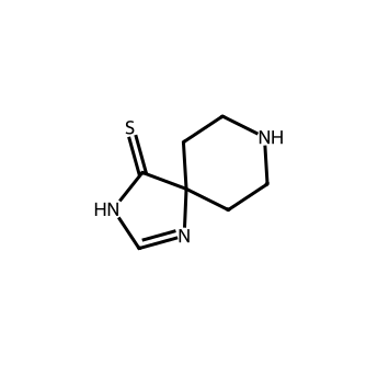 S=C1NC=NC12CCNCC2